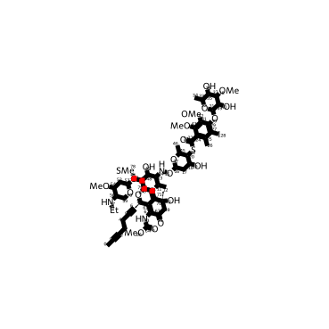 CC#CCCC#C[C@H](OC1OC(C)C(NOC2CC(O)C(SC(=O)c3c(C)c(I)c(OC4OC(C)C(O)C(OC)C4O)c(OC)c3OC)C(C)O2)C(O)C1OC1CC(OC)C(NCC)CO1)C1=C(NC(=O)OC)C(=O)C[C@](C)(O)/C1=C/CSSSC